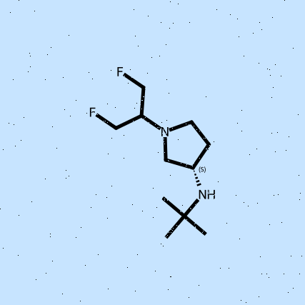 CC(C)(C)N[C@H]1CCN(C(CF)CF)C1